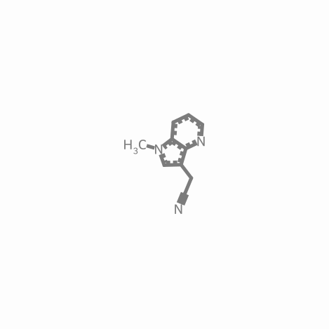 Cn1cc(CC#N)c2ncccc21